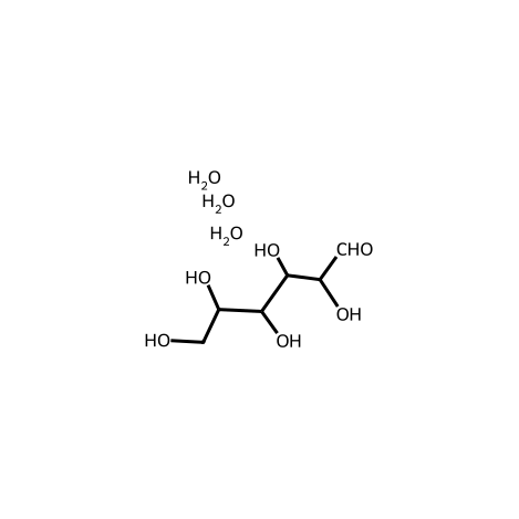 O.O.O.O=CC(O)C(O)C(O)C(O)CO